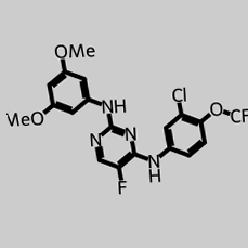 COc1cc(Nc2ncc(F)c(Nc3ccc(OC(F)(F)F)c(Cl)c3)n2)cc(OC)c1